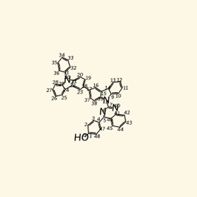 Oc1ccc(-c2nc(-n3c4ccccc4c4cc(-c5ccc6c(c5)c5ccccc5n6-c5ccccc5)ccc43)nc3ccccc23)cc1